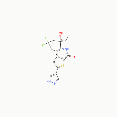 CC[C@@]1(O)CC(F)(F)Cc2c1[nH]c(=O)c1sc(-c3cn[nH]c3)cc21